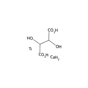 O=C(O)C(O)C(O)C(=O)O.[CaH2].[Ti]